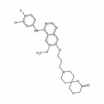 COc1cc2c(Nc3ccc(F)c(Cl)c3)ncnc2cc1OCCCN1CCC2(CC1)COCC(=O)O2